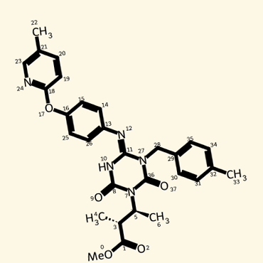 COC(=O)[C@H](C)[C@H](C)n1c(=O)[nH]/c(=N\c2ccc(Oc3ccc(C)cn3)cc2)n(Cc2ccc(C)cc2)c1=O